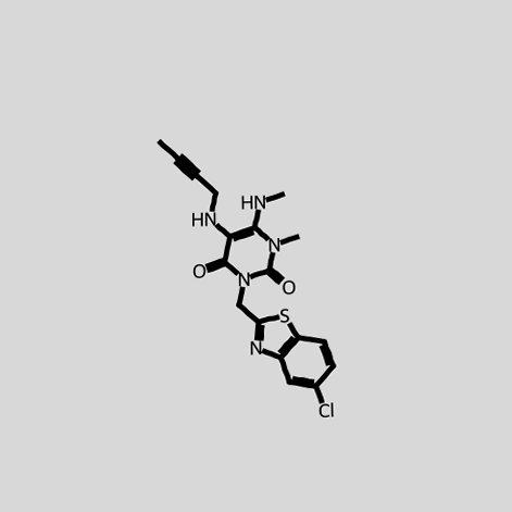 CC#CCNc1c(NC)n(C)c(=O)n(Cc2nc3cc(Cl)ccc3s2)c1=O